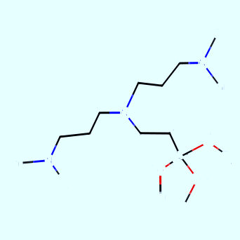 CCCN(CC)CCCN(CCCN(CC)CCC)CC[Si](OCC)(OCC)OCC